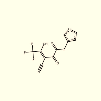 N#CC(C(=O)C(=O)Cc1ccoc1)=C(O)C(F)(F)F